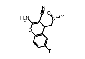 N#CC1=C(N)Oc2ccc(F)cc2C1C[N+](=O)[O-]